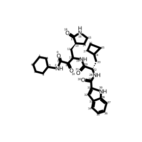 O=C(NC1CCCCC1)C(=O)C(C[C@@H]1CCNC1=O)NC(=O)[C@H](CC1CCC1)NC(=O)c1cc2ccccc2[nH]1